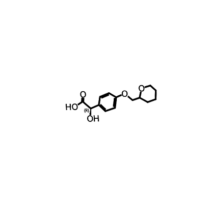 O=C(O)[C@H](O)c1ccc(OCC2CCCCO2)cc1